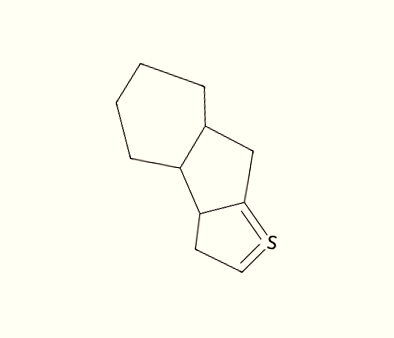 C1=S=C2CC3CCCCC3C2C1